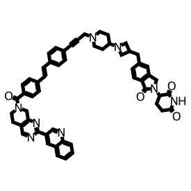 O=C1CCC(N2Cc3cc(CC4CN(C5CCN(CC#Cc6ccc(/C=C/c7ccc(C(=O)N8CCc9cnc(-c%10cnc%11ccccc%11c%10)nc9C8)cc7)cc6)CC5)C4)ccc3C2=O)C(=O)N1